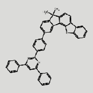 CC1(C)c2ccc(-c3ccc(-c4nc(-c5ccccc5)cc(-c5ccccc5)n4)cc3)cc2-c2c1ccc1c2oc2ccccc21